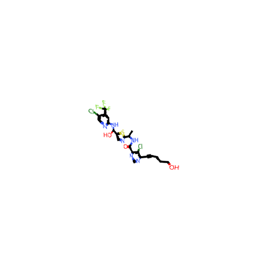 CC(NC(=O)c1ncnc(C#CCCCO)c1Cl)c1ncc(C(O)Nc2cc(C(F)(F)F)c(Cl)cn2)s1